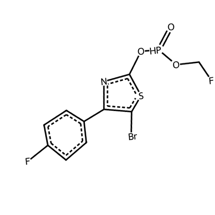 O=[PH](OCF)Oc1nc(-c2ccc(F)cc2)c(Br)s1